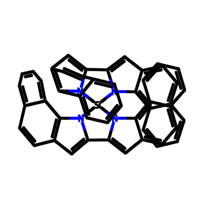 c1ccc2c(c1)ccc1cc3n(c12)[Si]1(n2c-3cc3ccc4ccccc4c32)n2c(cc3ccc4ccccc4c32)-c2cc3ccc4ccccc4c3n21